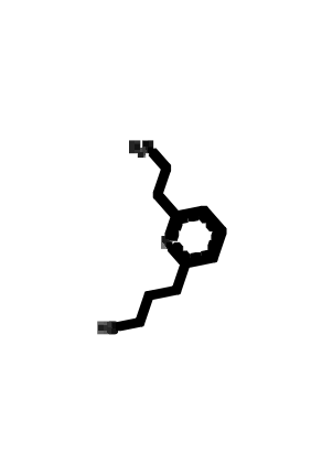 NCCc1cccc(CCCO)n1